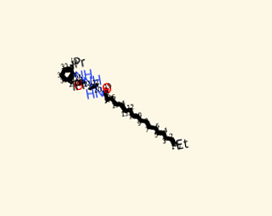 CCC=CCC=CCC=CCC=CCC=CCCCC(=O)NCCNC(=O)Nc1c(C(C)C)cccc1C(C)C